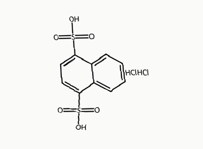 Cl.Cl.O=S(=O)(O)c1ccc(S(=O)(=O)O)c2ccccc12